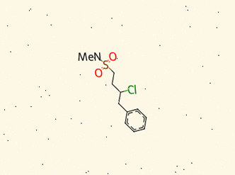 CNS(=O)(=O)CCC(Cl)Cc1ccccc1